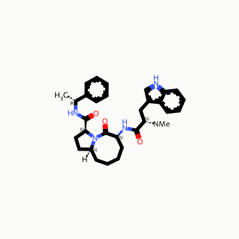 CN[C@@H](Cc1c[nH]c2ccccc12)C(=O)N[C@H]1CCCC[C@H]2CC[C@@H](C(=O)N[C@H](C)c3ccccc3)N2C1=O